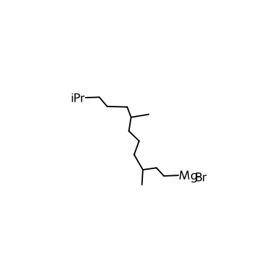 CC(C)CCCC(C)CCCC(C)C[CH2][Mg][Br]